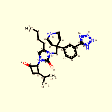 CCCCc1cn(C2C(=O)CC2C(C)C)c(=O)n1CC1(c2cccc(-c3nnn[nH]3)c2)C=CNC=C1